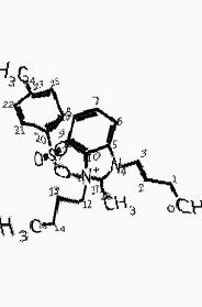 CCCCN1c2ccccc2[N+](CCCC)(OS(=O)(=O)c2ccc(C)cc2)C1C